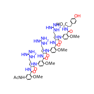 COc1ccc(NC(C)=O)cc1C(=O)N[C@@H](CCCNC(=N)N)C(=O)Nc1ccc(OC)c(C(=O)N[C@@H](CCCNC(=N)N)C(=O)Nc2ccc(OC)c(C(=O)N[C@@H](CCCNC(=N)N)C(=O)Nc3ccc(OC)c(C(=O)N[C@H](Cc4ccc(O)cc4)C(=O)O)c3)c2)c1